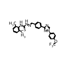 Cc1cccc(C)c1NC(=S)NN=Cc1ccc(-c2ncn(-c3ccc(OC(F)(F)F)cc3)n2)cc1